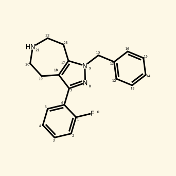 Fc1ccccc1-c1nn(Cc2ccccc2)c2c1CCNCC2